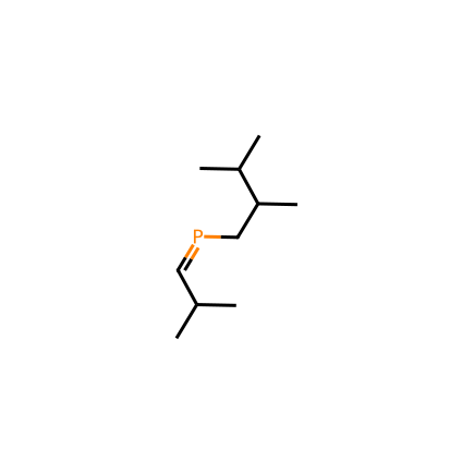 CC(C)/C=P\CC(C)C(C)C